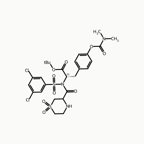 CN(C)C(=O)Oc1ccc(C[C@@H](C(=O)OC(C)(C)C)N(C(=O)C2CS(=O)(=O)CCN2)S(=O)(=O)c2cc(Cl)cc(Cl)c2)cc1